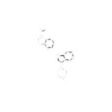 CC(=O)N1CCc2cc(S(=O)(=O)n3cc(N4CCNCC4)c4ccccc43)ccc21